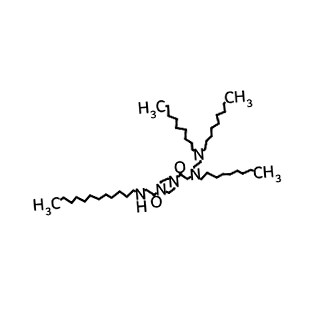 CCCCCCCCCCCCNCC(=O)N1CCN(C(=O)CN(CCCCCCCCC)CCN(CCCCCCCCC)CCCCCCCCC)CC1